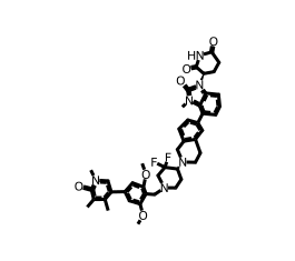 COc1cc(-c2cn(C)c(=O)c(C)c2C)cc(OC)c1CN1CC[C@H](N2CCc3cc(-c4cccc5c4n(C)c(=O)n5[C@@H]4CCC(=O)NC4=O)ccc3C2)C(F)(F)C1